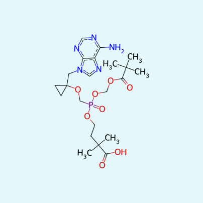 CC(C)(C)C(=O)OCOP(=O)(COC1(Cn2cnc3c(N)ncnc32)CC1)OCCC(C)(C)C(=O)O